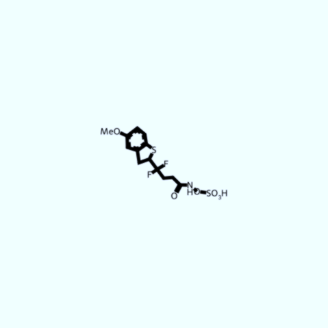 COc1ccc2c(c1)CC(C(F)(F)CCC(=O)NOS(=O)(=O)O)S2